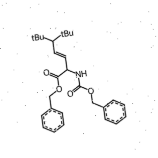 CC(C)(C)C(C=CC(NC(=O)OCc1ccccc1)C(=O)OCc1ccccc1)C(C)(C)C